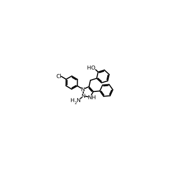 NN1NC(c2ccccc2)=C(Cc2ccccc2O)N1c1ccc(Cl)cc1